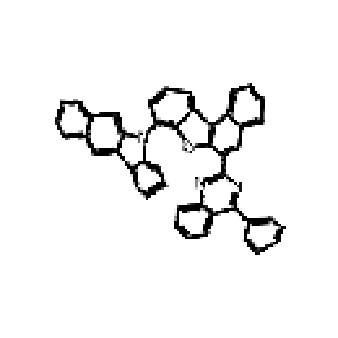 c1ccc(-c2nc(-c3cc4ccccc4c4c3oc3c(-n5c6ccccc6c6cc7ccccc7cc65)cccc34)nc3ccccc23)cc1